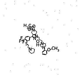 CCOc1ccccc1N1CCN(CC(O)Cn2nc(-c3ccc(C(F)(F)F)c(SCCN4CCCCC4)c3)c3c2CCN(S(C)(=O)=O)C3)CC1